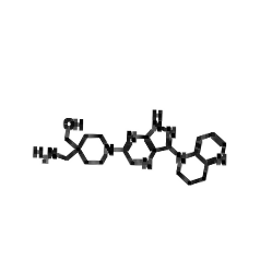 NCC1(CO)CCN(c2cnc3c(N4CCCc5ncccc54)n[nH]c3n2)CC1